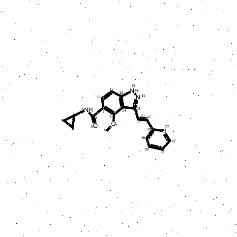 COc1c(C(=O)NC2CC2)ccc2[nH]nc(/C=C/c3ccccn3)c12